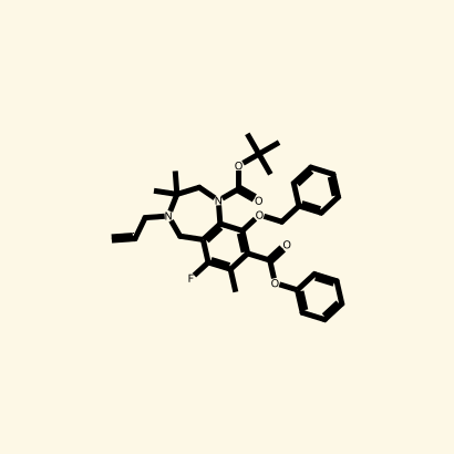 C=CCN1Cc2c(F)c(C)c(C(=O)Oc3ccccc3)c(OCc3ccccc3)c2N(C(=O)OC(C)(C)C)CC1(C)C